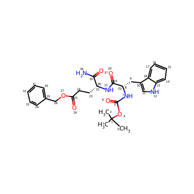 CC(C)(C)OC(=O)N[C@@H](Cc1c[nH]c2ccccc12)C(=O)N[C@H](CCC(=O)OCc1ccccc1)C(N)=O